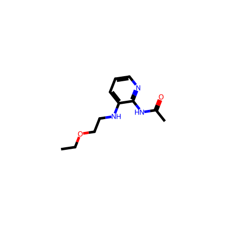 CCOCCNc1cccnc1NC(C)=O